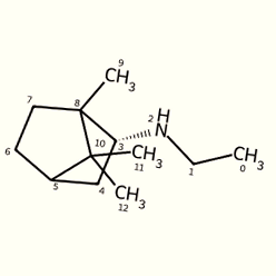 CCN[C@@H]1CC2CCC1(C)C2(C)C